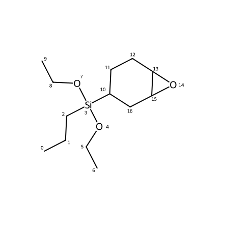 CCC[Si](OCC)(OCC)C1CCC2OC2C1